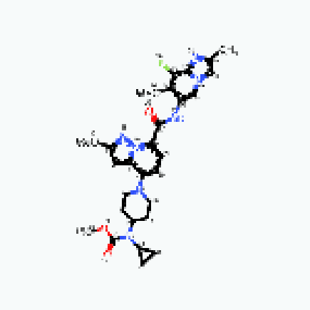 COc1cc2c(N3CCC(N(C(=O)OC(C)(C)C)C4CC4)CC3)ccc(C(=O)Nc3cn4cc(C)nc4c(F)c3OC)n2n1